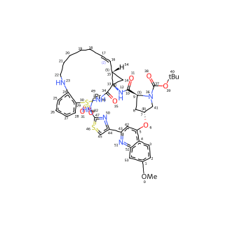 COc1ccc2c(O[C@@H]3C[C@@H](C(=O)N[C@]45C[C@H]4/C=C\CCCCCNc4ccccc4S(=O)(=O)NC5=O)N(C(=O)OC(C)(C)C)C3)cc(-c3csc(NC(C)C)n3)nc2c1